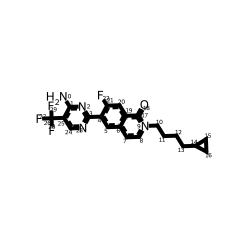 Nc1nc(-c2cc3ccn(CCCCC4CC4)c(=O)c3cc2F)ncc1C(F)(F)F